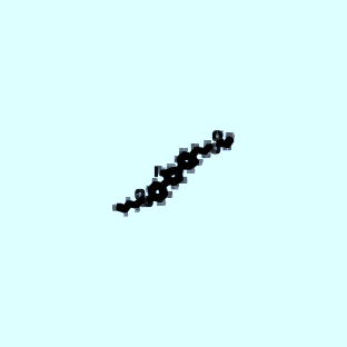 C=CCCC(=O)Oc1ccc(-c2ccc(-c3ccc(CCCOC(=O)C=C)cc3)cc2F)cc1